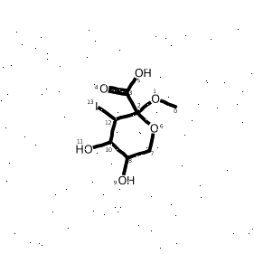 COC1(C(=O)O)OCC(O)C(O)C1I